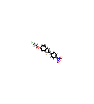 O=[N+]([O-])c1ccc(-c2cc3ccc(OCCF)cc3s2)cc1